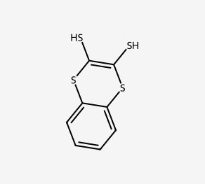 SC1=C(S)Sc2ccccc2S1